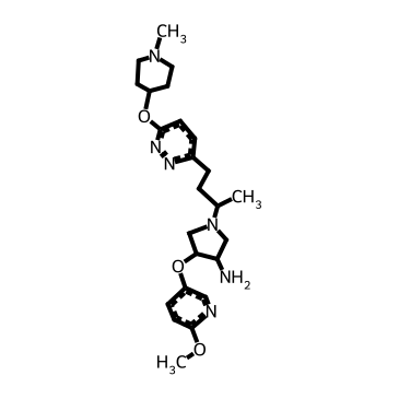 COc1ccc(OC2CN(C(C)CCc3ccc(OC4CCN(C)CC4)nn3)CC2N)cn1